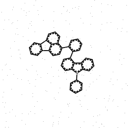 c1ccc(-n2c3ccccc3c3c(-c4ccccc4-c4ccc5c6c(cccc46)-c4ccccc4-5)cccc32)cc1